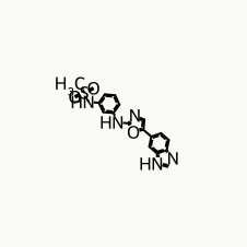 CS(=O)(=O)Nc1cccc(Nc2ncc(-c3ccc4nc[nH]c4c3)o2)c1